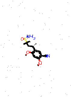 COc1cc(OC)c([C@@H](C)CC(C)(C)[S+](N)[O-])cc1C#N